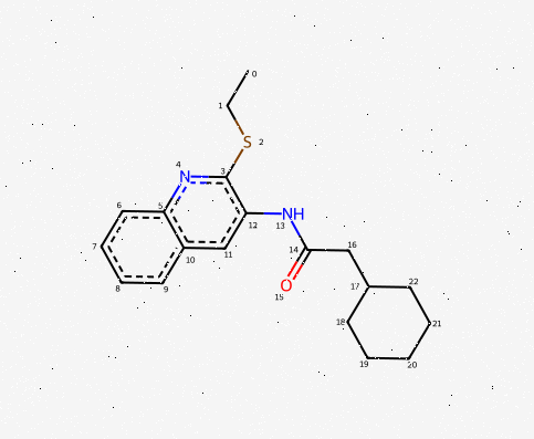 CCSc1nc2ccccc2cc1NC(=O)CC1CCCCC1